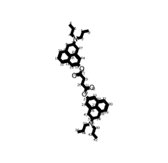 CCCN(CCC)C1Cc2cccc3cc(OC(=O)CCC(=O)Oc4cc5c6c(cccc6c4)CC(N(CCC)CCC)C5)cc(c23)C1